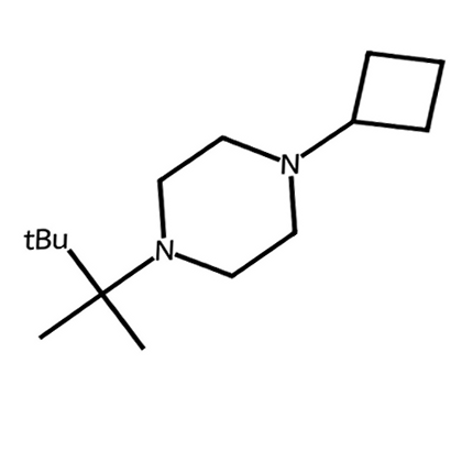 CC(C)(C)C(C)(C)N1CCN(C2CCC2)CC1